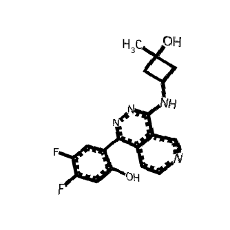 CC1(O)CC(Nc2nnc(-c3cc(F)c(F)cc3O)c3ccncc23)C1